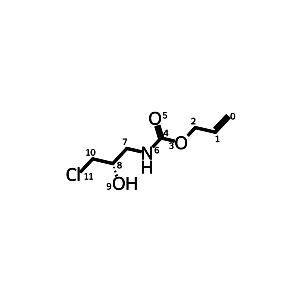 C=CCOC(=O)NC[C@H](O)CCl